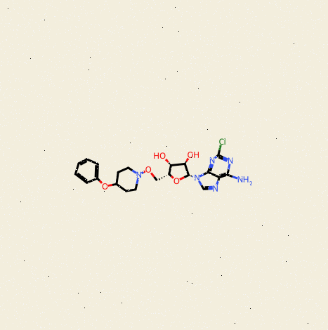 Nc1nc(Cl)nc2c1ncn2[C@@H]1O[C@H](CON2CCC(Oc3ccccc3)CC2)[C@@H](O)[C@H]1O